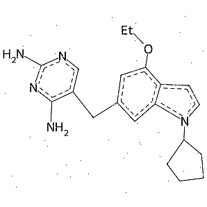 CCOc1cc(Cc2cnc(N)nc2N)cc2c1ccn2C1CCCC1